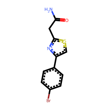 NC(=O)Cc1nc(-c2ccc(Br)cc2)cs1